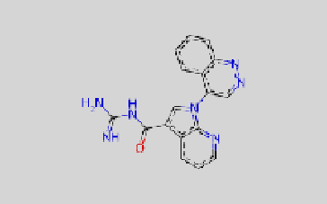 N=C(N)NC(=O)c1cn(-c2cnnc3ccccc23)c2ncccc12